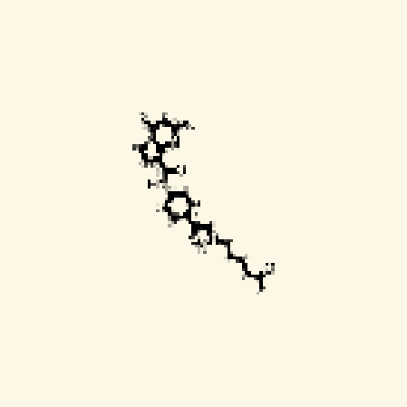 CC(=O)CCCCn1cc(-c2ccc(NC(=O)c3ccn4c(C)cc(C)nc34)cc2)nn1